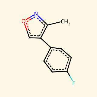 Cc1nocc1-c1ccc(F)cc1